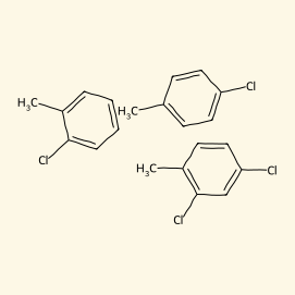 Cc1ccc(Cl)cc1.Cc1ccc(Cl)cc1Cl.Cc1ccccc1Cl